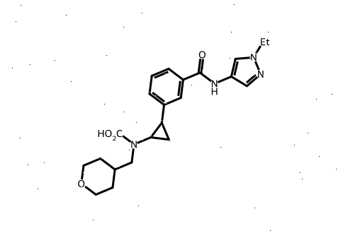 CCn1cc(NC(=O)c2cccc(C3CC3N(CC3CCOCC3)C(=O)O)c2)cn1